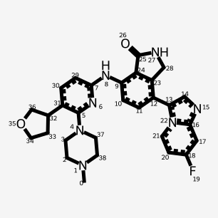 CN1CCN(c2nc(Nc3ccc(-c4cnc5cc(F)ccn45)c4c3C(=O)NC4)ccc2C2CCOC2)CC1